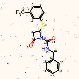 O=C1CC(Sc2cccc(C(F)(F)F)c2)N1C(=O)NCc1ccccc1